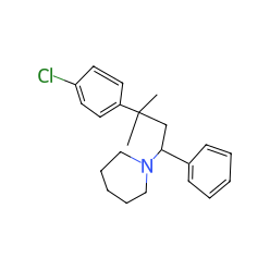 CC(C)(CC(c1ccccc1)N1CCCCC1)c1ccc(Cl)cc1